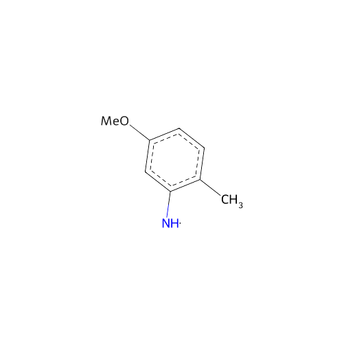 COc1ccc(C)c([NH])c1